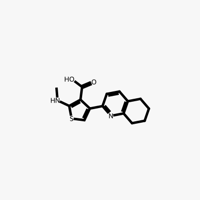 CNc1scc(-c2ccc3c(n2)CCCC3)c1C(=O)O